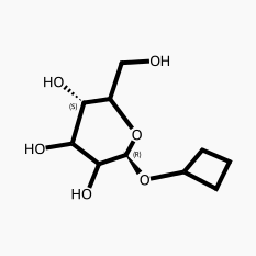 OCC1O[C@@H](OC2CCC2)C(O)C(O)[C@@H]1O